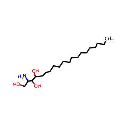 CCCCCCCCCCCCCCCCC(O)C(O)C(N)CO